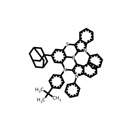 CC(C)(C)c1ccc(N2c3cc(C45CC6CC(CC(C6)C4)C5)cc4c3B(c3c2n(-c2ccccc2)c2ccccc32)c2c(c3ccccc3n2-c2ccccc2)S4)cc1